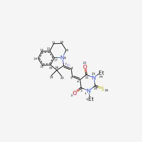 CCN1C(=O)C(=C/C=C2/N3CCCc4cccc(c43)C2(C)C)C(=O)N(CC)C1=S